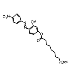 CCCCCCCCCCCCCCCCCC(=O)Oc1ccc(N=Nc2ccc([N+](=O)[O-])cc2)c(O)c1